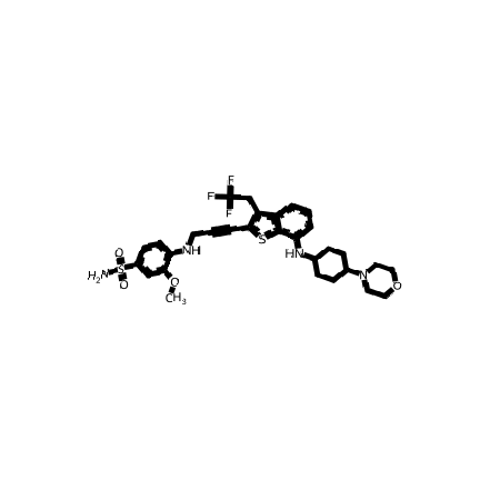 COc1cc(S(N)(=O)=O)ccc1NCC#Cc1sc2c(NC3CCC(N4CCOCC4)CC3)cccc2c1CC(F)(F)F